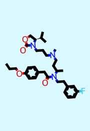 CCCOc1ccc(CC(=O)N(CCc2cccc(F)c2)C(C)CCN(C)CCCN2C(=O)OC[C@@H]2C(C)C)cc1